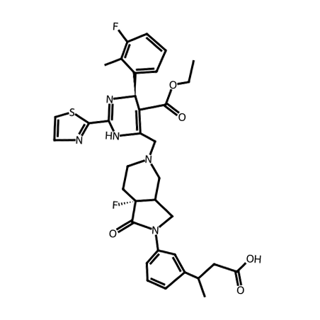 CCOC(=O)C1=C(CN2CC[C@]3(F)C(=O)N(c4cccc(C(C)CC(=O)O)c4)CC3C2)NC(c2nccs2)=N[C@H]1c1cccc(F)c1C